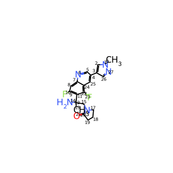 Cn1cc(-c2cnc3cc(F)c(C(C)(N)CN4CCCC4=O)c(F)c3c2)cn1